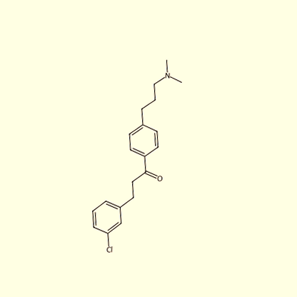 CN(C)CCCc1ccc(C(=O)CCc2cccc(Cl)c2)cc1